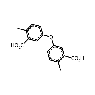 Cc1ccc(Oc2ccc(C)c(C(=O)O)c2)cc1C(=O)O